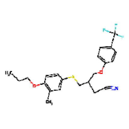 CCCOc1ccc(SCC(CC#N)COc2ccc(C(F)(F)F)cc2)cc1C